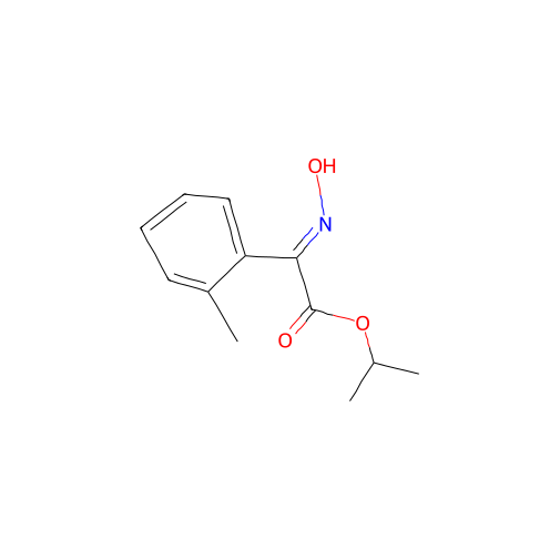 Cc1ccccc1/C(=N\O)C(=O)OC(C)C